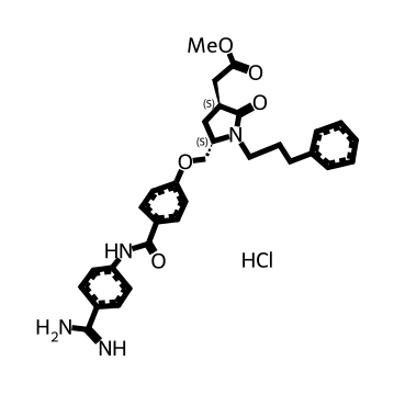 COC(=O)C[C@@H]1C[C@@H](COc2ccc(C(=O)Nc3ccc(C(=N)N)cc3)cc2)N(CCCc2ccccc2)C1=O.Cl